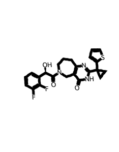 O=C([C@H](O)c1cccc(F)c1F)N1CCCc2nc(C3(c4cccs4)CC3)[nH]c(=O)c2C1